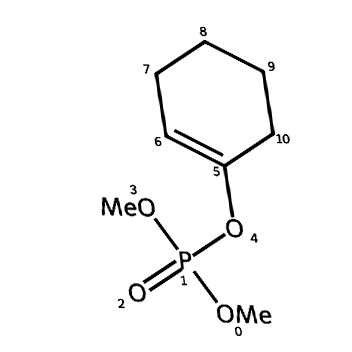 COP(=O)(OC)OC1=CCCCC1